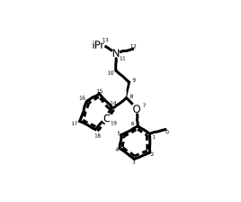 Cc1ccccc1O[C@H](CCN(C)C(C)C)c1ccccc1